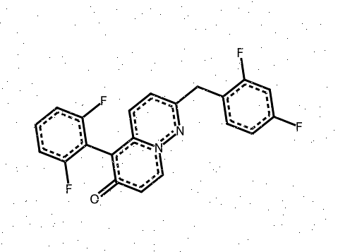 O=c1ccn2nc(Cc3ccc(F)cc3F)ccc2c1-c1c(F)cccc1F